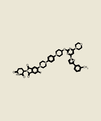 Cc1cccc(-c2ccn(-c3cc(N4CCOCC4)nc(OC4CCN(c5ccc(N6CCN(c7cc8c(cc7F)C(=O)N(C7CCC(=O)NC7=O)C8=O)CC6)cc5)CC4)n3)n2)c1